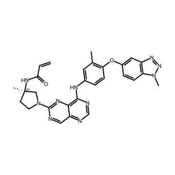 C=CC(=O)N[C@]1(C)CCN(c2ncc3ncnc(Nc4ccc(Oc5ccc6c(c5)nnn6C)c(C)c4)c3n2)C1